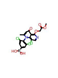 COC(=O)COc1ncc(Cl)c2c1c(=O)cc(C)n2-c1c(Cl)cc(B(O)O)cc1Cl